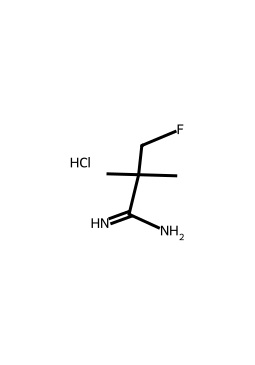 CC(C)(CF)C(=N)N.Cl